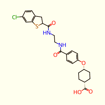 O=C(NCCNC(=O)C1Cc2ccc(Cl)cc2S1)c1ccc(O[C@H]2CC[C@@H](C(=O)O)CC2)cc1